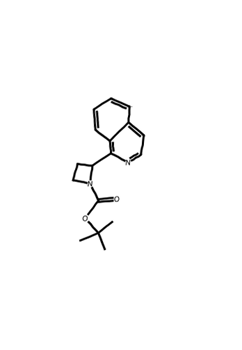 CC(C)(C)OC(=O)N1CCC1c1nccc2[c]cccc12